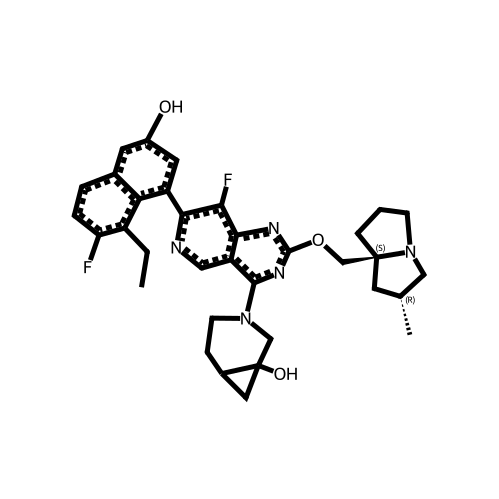 CCc1c(F)ccc2cc(O)cc(-c3ncc4c(N5CCC6CC6(O)C5)nc(OC[C@@]56CCCN5C[C@H](C)C6)nc4c3F)c12